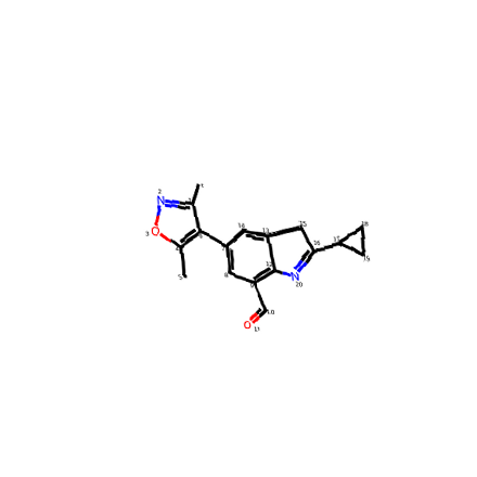 Cc1noc(C)c1-c1cc(C=O)c2c(c1)CC(C1CC1)=N2